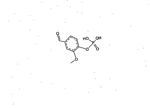 COc1cc(C=O)ccc1OP(=O)(O)O